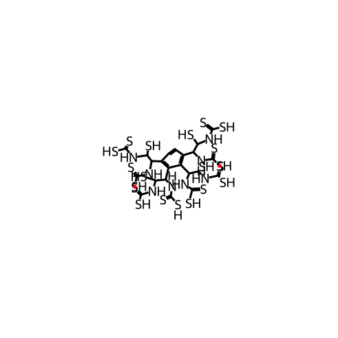 S=C(S)NC(S)C(NC(=S)S)c1ccc(C(NC(=S)S)C(S)NC(=S)S)c(C(NC(=S)S)C(S)NC(=S)S)c1C(NC(=S)S)C(S)NC(=S)S